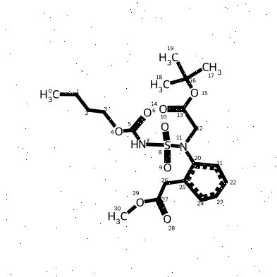 CCCCOC(=O)NS(=O)(=O)N(CC(=O)OC(C)(C)C)c1ccccc1CC(=O)OC